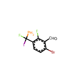 O=Cc1c(Br)ccc(C(F)(P)I)c1F